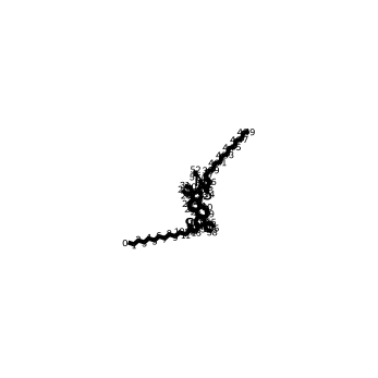 CCCCCCCCCCCCc1cc2c(s1)-c1c(ccc3c4c(ccc13)C(CC)(CC)c1c-4sc3cc(CCCCCCCCCCCC)n(CC)c13)C2(CC)CC